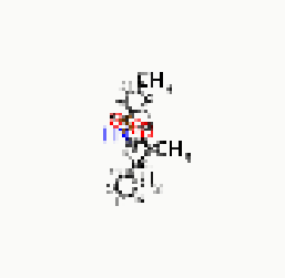 Cc1ccc(S(=O)(=O)N[C@@H](CCc2ccccc2)C(=O)C(C)C)cc1